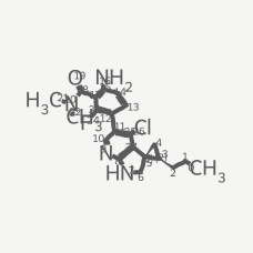 CCC[C@@H]1C[C@]12CNc1ncc(-c3ccc(N)c(C(=O)N(C)C)c3F)c(Cl)c12